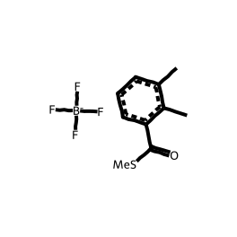 CSC(=O)c1cccc(C)c1C.F[B-](F)(F)F